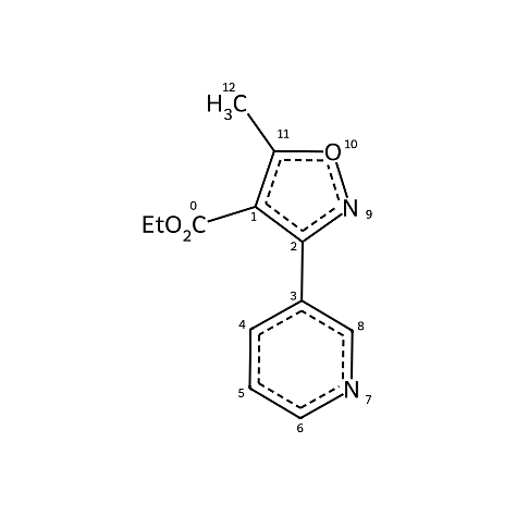 CCOC(=O)c1c(-c2cccnc2)noc1C